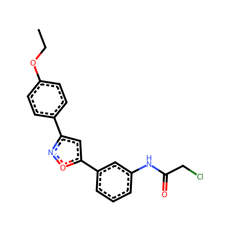 CCOc1ccc(-c2cc(-c3cccc(NC(=O)CCl)c3)on2)cc1